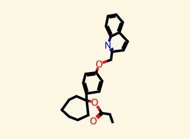 CCC(=O)OC1(c2ccc(OCc3ccc4ccccc4n3)cc2)CCCCCC1